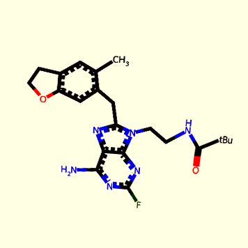 Cc1cc2c(cc1Cc1nc3c(N)nc(F)nc3n1CCNC(=O)C(C)(C)C)OCC2